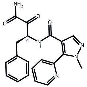 Cn1ncc(C(=O)N[C@@H](Cc2ccccc2)C(=O)C(N)=O)c1-c1ccccn1